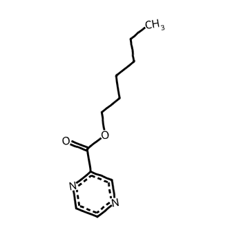 CCCCCCOC(=O)c1cnccn1